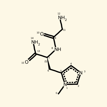 Cn1cncc1C[C@H](NC(=O)CN)C(N)=O